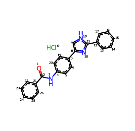 Cl.O=C(Nc1ccc(-c2c[nH]c(-c3ccccc3)n2)cc1)c1ccccc1